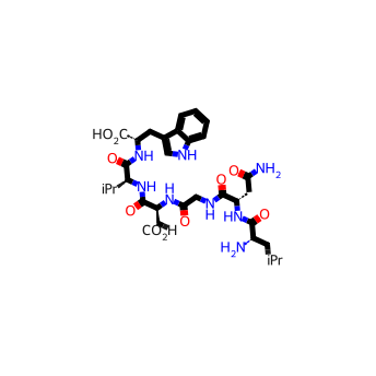 CC(C)C[C@H](N)C(=O)N[C@@H](CC(N)=O)C(=O)NCC(=O)N[C@@H](CC(=O)O)C(=O)N[C@H](C(=O)N[C@@H](Cc1c[nH]c2ccccc12)C(=O)O)C(C)C